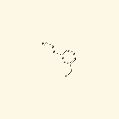 CC=Cc1cccc(C=O)c1